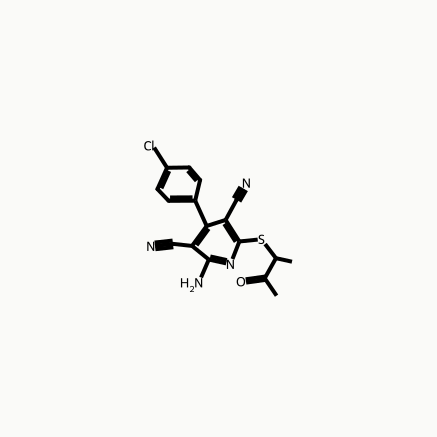 CC(=O)C(C)Sc1nc(N)c(C#N)c(-c2ccc(Cl)cc2)c1C#N